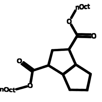 CCCCCCCCOC(=O)C1CC(C(=O)OCCCCCCCC)C2CCCC12